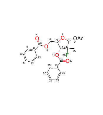 CC(=O)O[C@H]1O[C@H](COC(=O)c2ccccc2)[C@@H](OC(=O)c2ccccc2)[C@@]1(C)F